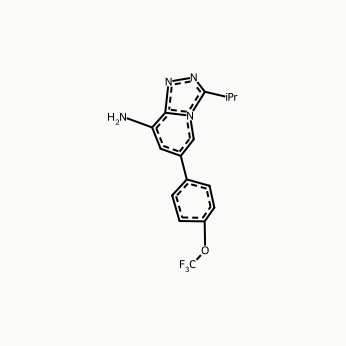 CC(C)c1nnc2c(N)cc(-c3ccc(OC(F)(F)F)cc3)cn12